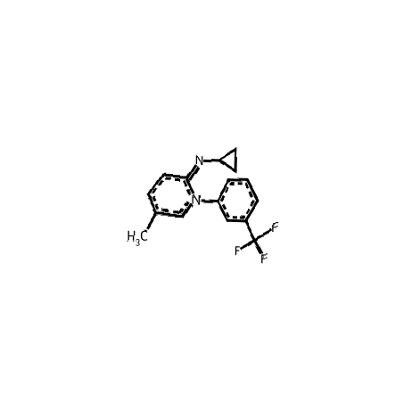 Cc1cc/c(=N/C2CC2)n(-c2cccc(C(F)(F)F)c2)c1